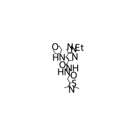 CCn1ncc2c(NC3CCOCC3)c(C(=O)NNC(=O)Cc3sc(C)nc3C)cnc21